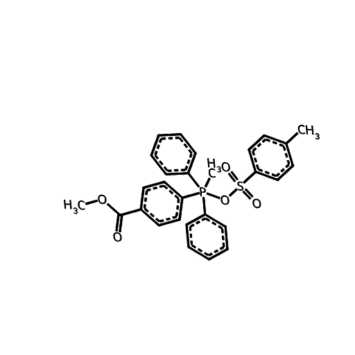 COC(=O)c1ccc(P(C)(OS(=O)(=O)c2ccc(C)cc2)(c2ccccc2)c2ccccc2)cc1